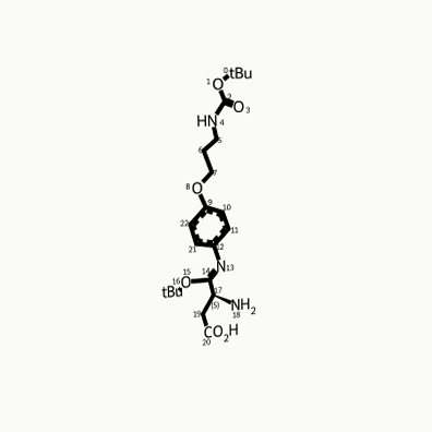 CC(C)(C)OC(=O)NCCCOc1ccc(N=C(OC(C)(C)C)[C@@H](N)CC(=O)O)cc1